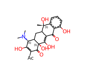 CC(=O)C1=C(O)[C@@H](N(C)C)C2CC3C(=C(O)[C@]2(O)C1=O)C(=O)c1c(O)cccc1[C@@]3(C)O